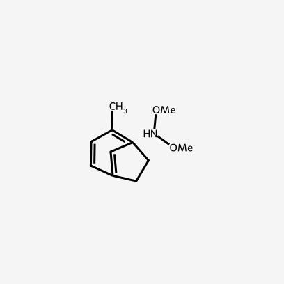 CONOC.Cc1ccc2cc1CC2